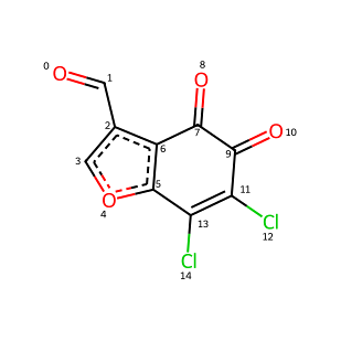 O=Cc1coc2c1C(=O)C(=O)C(Cl)=C2Cl